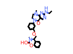 CCNc1ncc2c(n1)N(C)CCN(c1cccc(COCC(c3ccccc3)N(C)C(=O)O)c1)C2=O